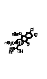 CCCCOc1c(CNC(=O)O)n(CCC(O)NC(C)C)c(=O)c2cc(Cl)c(Cl)cc12